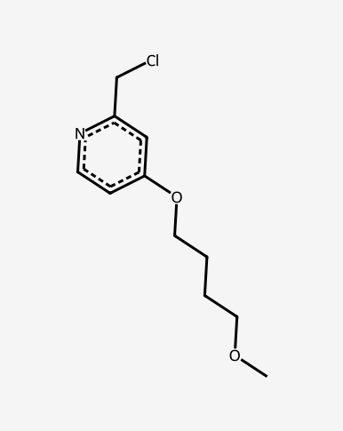 COCCCCOc1ccnc(CCl)c1